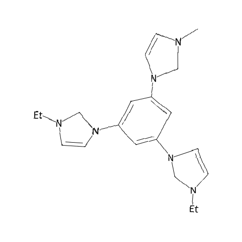 CCN1C=CN(c2cc(N3C=CN(C)C3)cc(N3C=CN(CC)C3)c2)C1